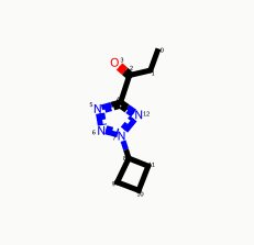 CCC(=O)c1nnn(C2CCC2)n1